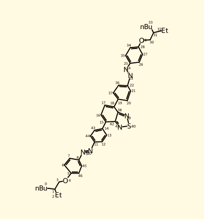 CCCCC(CC)COc1ccc(/N=N/c2ccc(-c3ccc(-c4ccc(/N=N/c5ccc(OCC(CC)CCCC)cc5)cc4)c4nsnc34)cc2)cc1